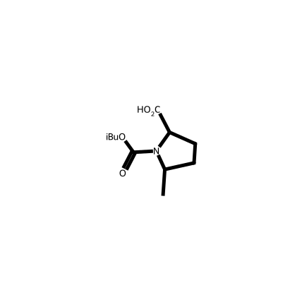 CC(C)COC(=O)N1C(C)CCC1C(=O)O